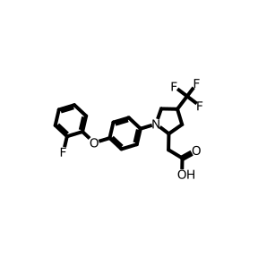 O=C(O)CC1CC(C(F)(F)F)CN1c1ccc(Oc2ccccc2F)cc1